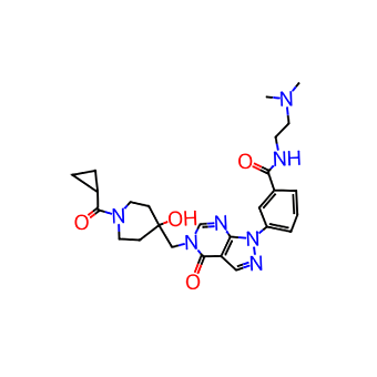 CN(C)CCNC(=O)c1cccc(-n2ncc3c(=O)n(CC4(O)CCN(C(=O)C5CC5)CC4)cnc32)c1